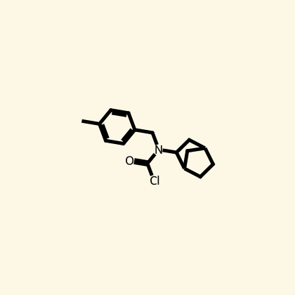 Cc1ccc(CN(C(=O)Cl)C2CC3CCC2C3)cc1